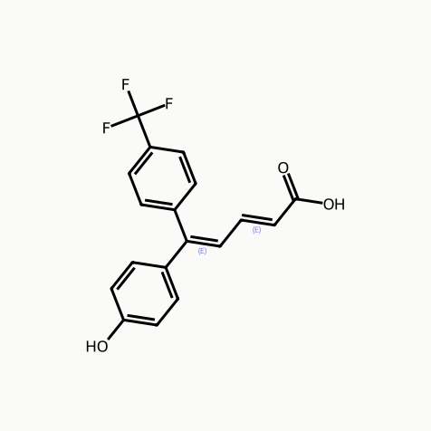 O=C(O)/C=C/C=C(/c1ccc(O)cc1)c1ccc(C(F)(F)F)cc1